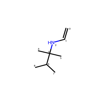 C=CNC(C)(C)C(C)C